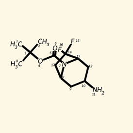 CC(C)(C)OC(=O)N1C2CC(N)CC1C(F)(F)C2